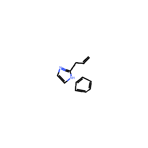 C=CCc1ncc[nH]1.c1ccccc1